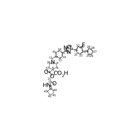 O=C(COC(=O)C1(C(=O)O)CCN(Cc2ccc(-c3noc(-c4ccc(-c5ccccc5)c(F)c4)n3)cc2)CC1)NC1CCCC1